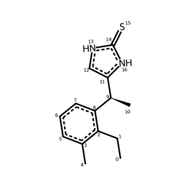 CCc1c(C)cccc1[C@H](C)c1c[nH]c(=S)[nH]1